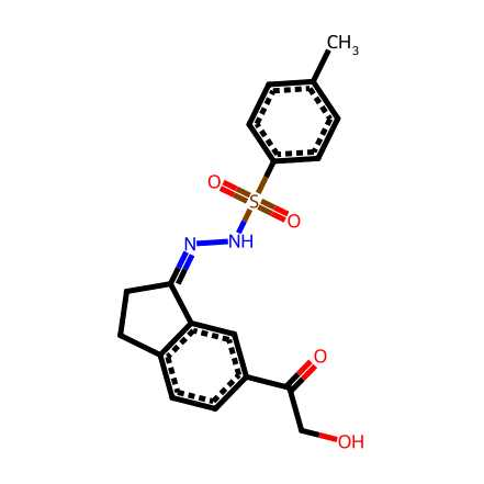 Cc1ccc(S(=O)(=O)N/N=C2/CCc3ccc(C(=O)CO)cc32)cc1